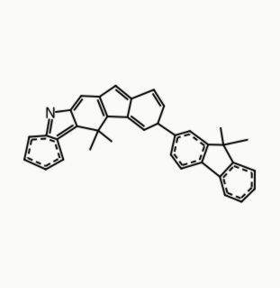 CC1(C)C2=C(C=C3C=CC(c4ccc5c(c4)C(C)(C)c4ccccc4-5)C=C32)C=C2N=c3ccccc3=C21